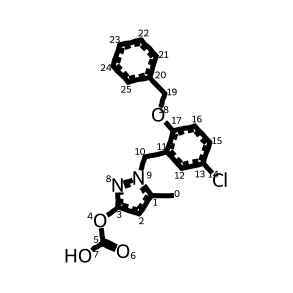 Cc1cc(OC(=O)O)nn1Cc1cc(Cl)ccc1OCc1ccccc1